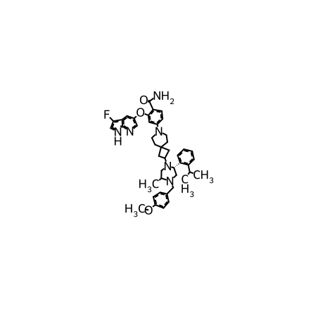 COc1ccc(CN2C[C@@H](c3ccccc3C(C)C)N(C3CC4(CCN(c5ccc(C(N)=O)c(Oc6cnc7[nH]cc(F)c7c6)c5)CC4)C3)CC2C)cc1